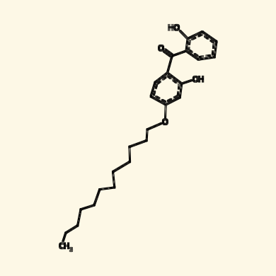 CCCCCCCCCCCCOc1ccc(C(=O)c2ccccc2O)c(O)c1